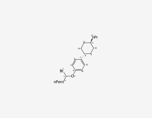 CCCCCC(Br)Oc1ccc([C@H]2CC[C@H](CCC)CC2)cc1